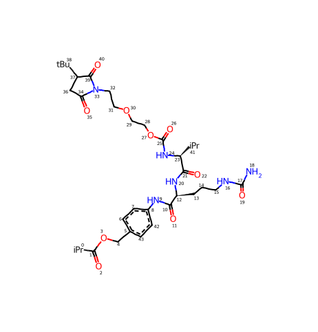 CC(C)C(=O)OCc1ccc(NC(=O)[C@H](CCCNC(N)=O)NC(=O)[C@@H](NC(=O)OCCOCCN2C(=O)CC(C(C)(C)C)C2=O)C(C)C)cc1